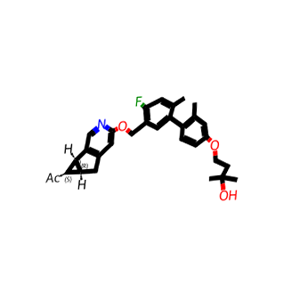 CC(=O)[C@H]1[C@@H]2Cc3cc(OCc4cc(-c5ccc(OCCC(C)(C)O)cc5C)c(C)cc4F)ncc3[C@@H]21